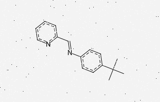 CC(C)(C)c1ccc(N=Cc2ccccn2)cc1